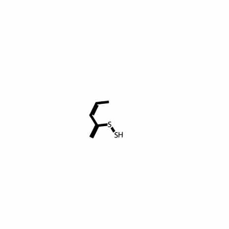 C=C(/C=C\C)SS